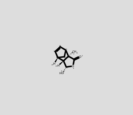 C[C@]12C(=O)O[C@H](O)[C@@H]1[C@@H]1C=CC2C1